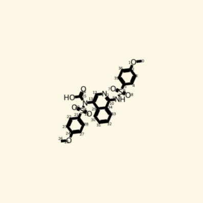 COc1ccc(S(=O)(=O)Nc2ncc(N(C(=O)O)S(=O)(=O)c3ccc(OC)cc3)c3ccccc23)cc1